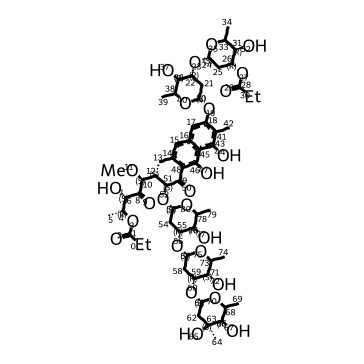 CCC(=O)O[C@H](C)[C@H](O)C(=O)[C@@H](OC)[C@@H]1Cc2cc3cc(O[C@H]4C[C@@H](O[C@H]5C[C@@H](OC(=O)CC)[C@H](O)C(C)O5)[C@H](O)C(C)O4)c(C)c(O)c3c(O)c2C(=O)[C@H]1O[C@H]1C[C@@H](O[C@H]2C[C@@H](O[C@H]3C[C@](C)(O)[C@H](O)C(C)O3)[C@@H](O)C(C)O2)[C@H](O)C(C)O1